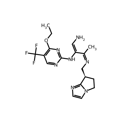 CCOc1nc(NC(=C/N)/C(C)=N\C[C@H]2CCn3ccnc32)ncc1C(F)(F)F